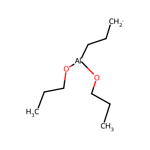 [CH2]C[CH2][Al]([O]CCC)[O]CCC